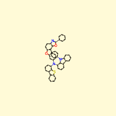 c1ccc(-c2nc3ccc4oc5cc(N(c6cccc7c6sc6ccccc67)c6cccc7c8ccccc8n(-c8ccccc8)c67)ccc5c4c3o2)cc1